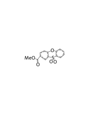 COC(=O)c1ccc2c(c1)S(=O)(=O)c1ccccc1O2